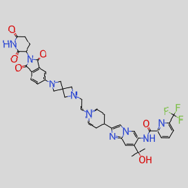 CC(C)(O)c1cc2nc(C3CCN(CCN4CC5(C4)CN(c4ccc6c(c4)C(=O)N(C4CCC(=O)NC4=O)C6=O)C5)CC3)cn2cc1NC(=O)c1cccc(C(F)(F)F)n1